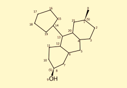 C[C@H]1CCC2CC3C[C@@H](O)CCC3C(C3CCCCC3)C2C1